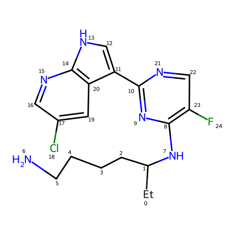 CCC(CCCCN)Nc1nc(-c2c[nH]c3ncc(Cl)cc23)ncc1F